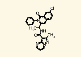 Cc1nn2cccnc2c1C(=O)N[C@@H](C)c1cc2ccc(Cl)cc2c(=O)n1-c1ccccc1